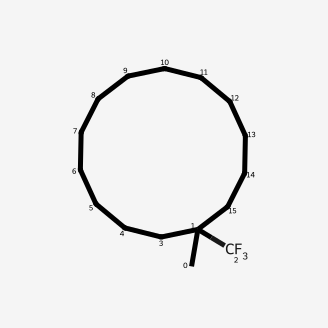 CC1(C(F)(F)F)CCCCCCCCCCCCC1